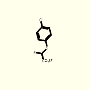 CCOC(=O)C(F)Sc1ccc(Cl)cc1